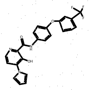 O=C(Nc1ccc(Oc2cccc(C(F)(F)F)c2)cc1)c1nccc(-n2cccc2)c1O